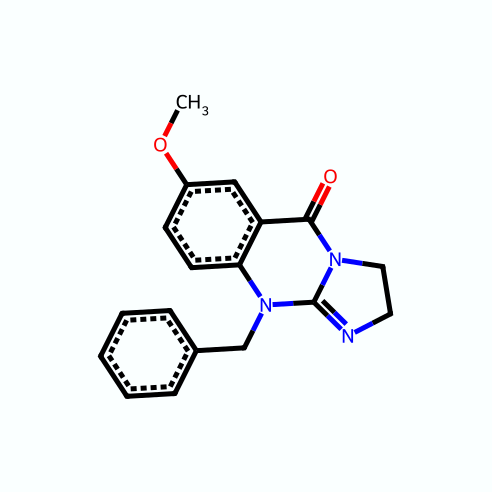 COc1ccc2c(c1)C(=O)N1CCN=C1N2Cc1ccccc1